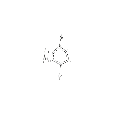 Brc1ccc(Br)cc1.CO